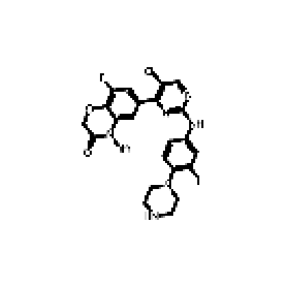 CC(C)N1C(=O)COc2c(F)cc(-c3nc(Nc4ccc(N5CCNCC5)c(F)c4)ncc3Cl)cc21